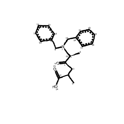 CC(CC(=O)[C@H](C)N(Cc1ccccc1)Cc1ccccc1)C(=O)O